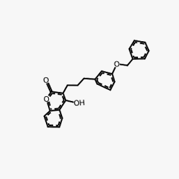 O=c1oc2ccccc2c(O)c1CCCc1cccc(OCc2ccccc2)c1